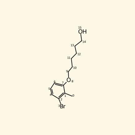 Cc1c(Br)cccc1OCCCCCCO